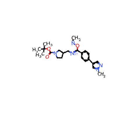 C=NO/C(=N\CC1CCN(C(=O)OC(C)(C)C)C1)c1ccc(-c2cnn(C)c2)cc1